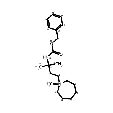 CC(C)(CC[N+]1(C)CCCCCC1)NC(=O)OCc1ccccc1